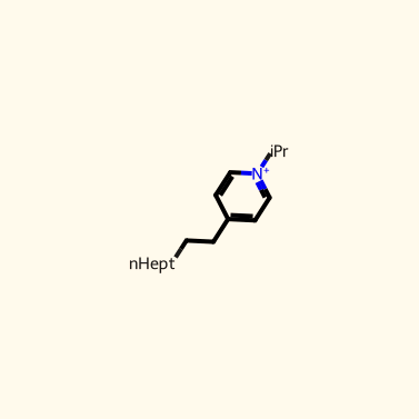 CCCCCCCCCc1cc[n+](C(C)C)cc1